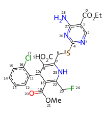 CCOC(=O)c1cnc(SCC2=C(C(=O)O)C(c3ccccc3Cl)C(C(=O)OC)=C(CF)N2)nc1N